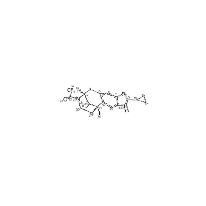 CC1(C)[C@H]2Cc3cc4nc(C5CC5)[nH]c4cc3[C@]1(C)CCN2C(=O)C(F)(F)F